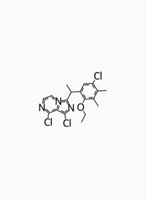 CCOc1c(C(C)c2nc(Cl)c3c(Cl)nccn23)cc(Cl)c(C)c1C